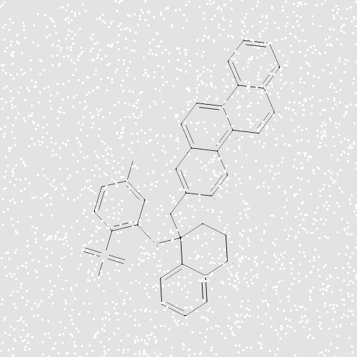 CS(=O)(=O)c1ccc(F)cc1NC1(Cc2ccc3c(ccc4c5ccccc5ccc34)c2)CCCc2ccccc21